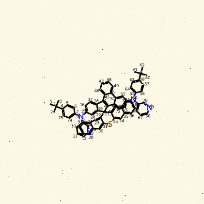 CC(C)(C)c1ccc(N(c2cccnc2)c2ccc3c(c2)C2(c4cc5ccccc5cc4Sc4cc5ccccc5cc42)c2c-3c3ccccc3c3cc(N(c4ccc(C(C)(C)C)cc4)c4cccnc4)ccc23)cc1